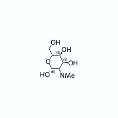 CNC1[C@H](O)OC(CO)[C@@H](O)[C@H]1O